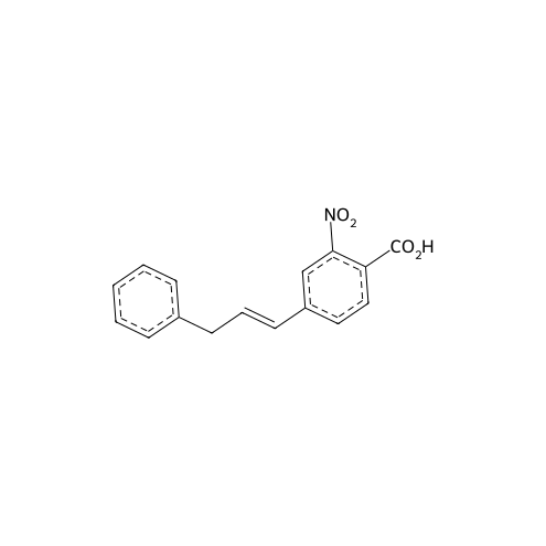 O=C(O)c1ccc(C=CCc2ccccc2)cc1[N+](=O)[O-]